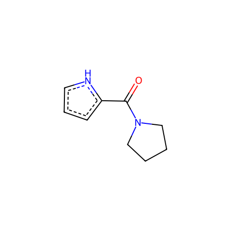 O=C(c1ccc[nH]1)N1CCCC1